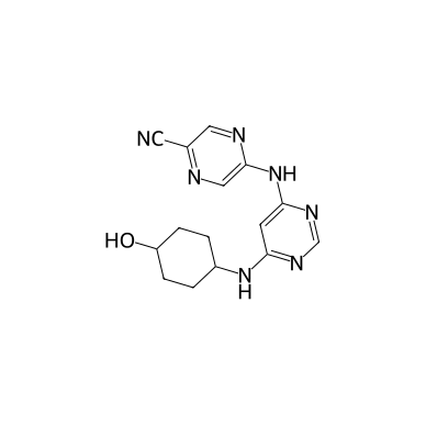 N#Cc1cnc(Nc2cc(NC3CCC(O)CC3)ncn2)cn1